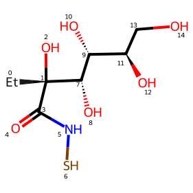 CC[C@](O)(C(=O)NS)[C@@H](O)[C@H](O)[C@H](O)CO